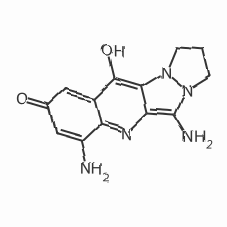 Nc1cc(=O)cc2c(O)c3c(nc12)c(N)n1n3CCC1